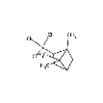 CC1(C)C2CC([Si](Cl)(Cl)Cl)C1(C)C2